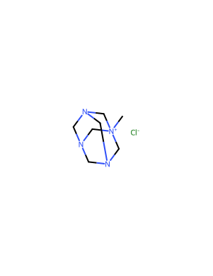 C[N+]12CN3CN(CN(C3)C1)C2.[Cl-]